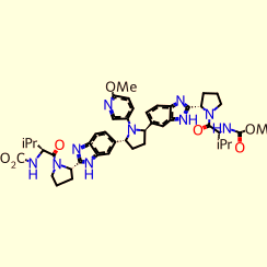 COC(=O)N[C@H](C(=O)N1CCC[C@H]1c1nc2ccc([C@H]3CC[C@H](c4ccc5nc([C@@H]6CCCN6C(=O)[C@@H](NC(=O)O)C(C)C)[nH]c5c4)N3c3ccc(OC)nc3)cc2[nH]1)C(C)C